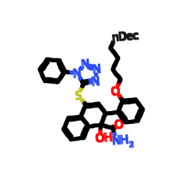 CCCCCCCCCCCCCCOc1ccccc1C1C=C(Sc2nnnn2-c2ccccc2)c2ccccc2C1(O)C(N)=O